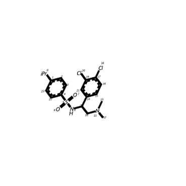 CC(C)c1ccc(S(=O)(=O)NC(CN(C)C)c2ccc(Cl)c(Cl)c2)cc1